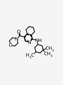 CC1CC(Nc2ncc(C(=O)N3CCOCC3)c3c2CCCC3)CC(C)(C)C1